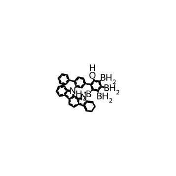 Bc1c(B)c(B)c(-c2ccc(-c3ccccc3)c(-n3c4ccccc4c4ccc5c6c(n(C)c5c43)=CCCC=6)c2)c(O)c1B